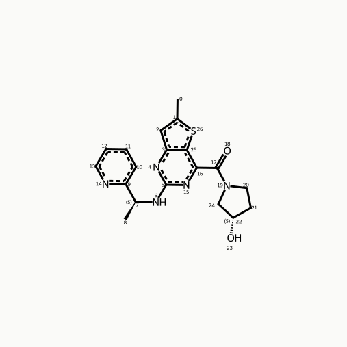 Cc1cc2nc(N[C@@H](C)c3ccccn3)nc(C(=O)N3CC[C@H](O)C3)c2s1